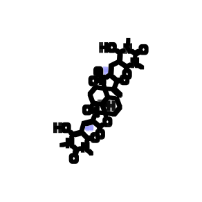 C=C1C(=O)/C(=C\c2c(O)n(C)c(=O)n(C)c2=O)S(=O)(=O)C12CCC[C@@H]1C2CCCC12OC(=O)/C(=C\c1c(O)n(C)c(=O)n(C)c1=O)S2(=O)=O